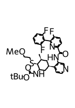 COCCS[C@H]1[C@@H](C)C[C@@H](c2ccncc2NC(=O)c2ccc(F)c(-c3c(F)cccc3F)n2)C[C@H]1NC(=O)OC(C)(C)C